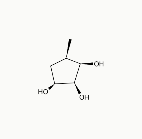 C[C@@H]1C[C@H](O)[C@H](O)[C@@H]1O